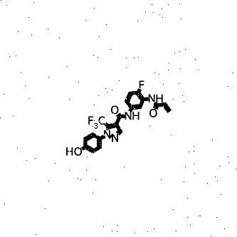 C=CC(=O)Nc1cc(NC(=O)c2cnn(-c3ccc(O)cc3)c2C(F)(F)F)ccc1F